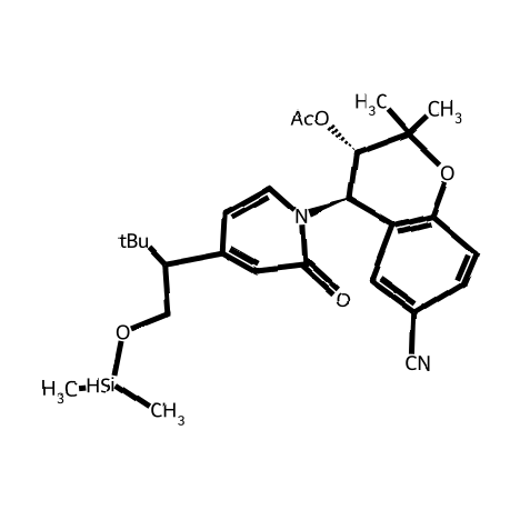 CC(=O)O[C@H]1[C@H](n2ccc(C(CO[SiH](C)C)C(C)(C)C)cc2=O)c2cc(C#N)ccc2OC1(C)C